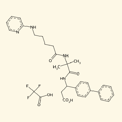 CC(C)(NC(=O)CCCCNc1ccccn1)C(=O)NC(CC(=O)O)c1ccc(-c2ccccc2)cc1.O=C(O)C(F)(F)F